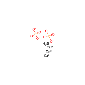 O=P([O-])([O-])[O-].O=P([O-])([O-])[O-].[Ca+2].[Ca+2].[Ca+2].[SiH4]